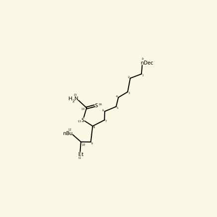 CCCCCCCCCCCCCCCCCC(CC(CC)CCCC)SC(N)=S